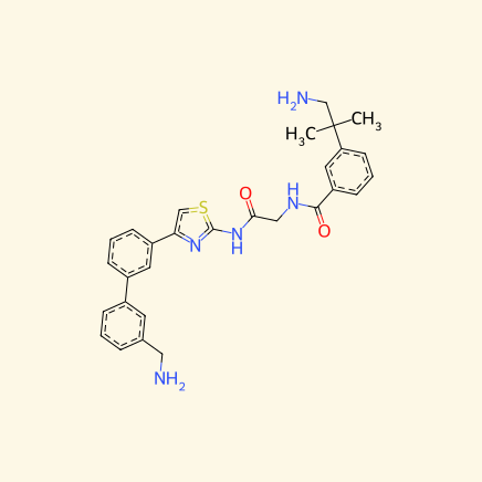 CC(C)(CN)c1cccc(C(=O)NCC(=O)Nc2nc(-c3cccc(-c4cccc(CN)c4)c3)cs2)c1